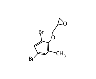 Cc1cc(Br)cc(Br)c1OCC1CO1